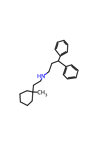 CC1(CCNCCC(c2ccccc2)c2ccccc2)CCCCC1